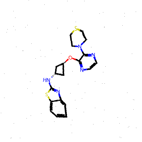 c1ccc2sc(N[C@H]3C[C@H](Oc4nccnc4N4CCSCC4)C3)nc2c1